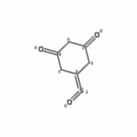 O=S=C1CC(=O)CC(=O)C1